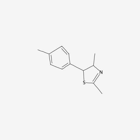 CC1=NC(C)C(c2ccc(C)cc2)S1